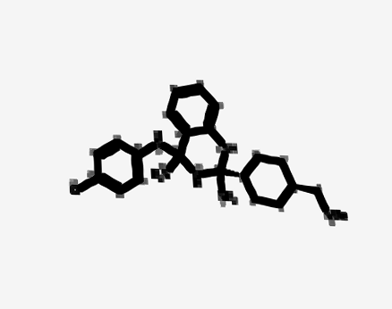 CNC[C@H]1CC[C@H](C2(N)Nc3ccccc3C(N)(Nc3ccc(Cl)cc3)N2)CC1